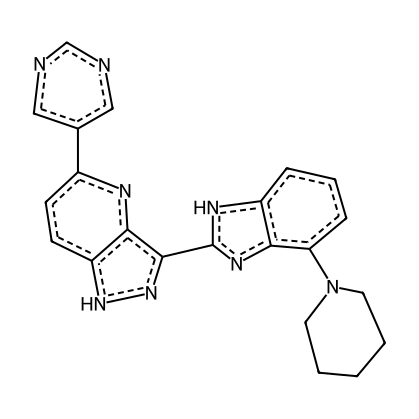 c1cc(N2CCCCC2)c2nc(-c3n[nH]c4ccc(-c5cncnc5)nc34)[nH]c2c1